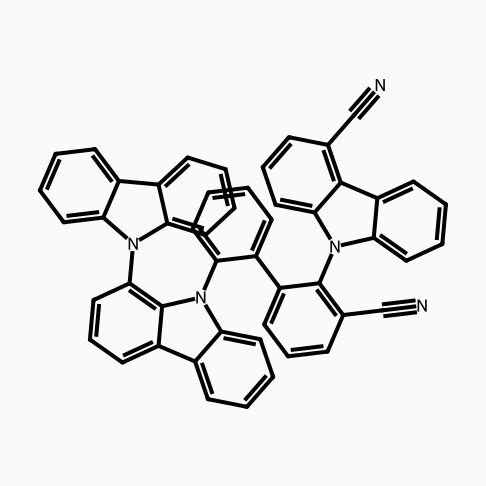 N#Cc1cccc(-c2ccccc2-n2c3ccccc3c3cccc(-n4c5ccccc5c5ccccc54)c32)c1-n1c2ccccc2c2c(C#N)cccc21